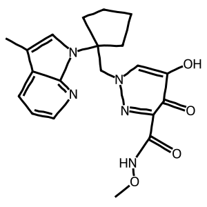 CONC(=O)c1nn(CC2(n3cc(C)c4cccnc43)CCCC2)cc(O)c1=O